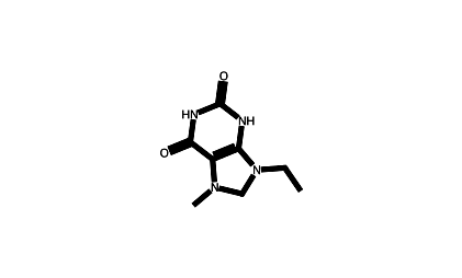 CCN1CN(C)c2c1[nH]c(=O)[nH]c2=O